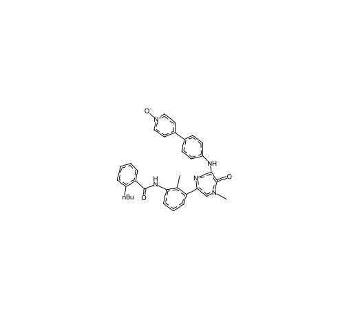 CCCCc1ccccc1C(=O)Nc1cccc(-c2cn(C)c(=O)c(Nc3ccc(-c4cc[n+]([O-])cc4)cc3)n2)c1C